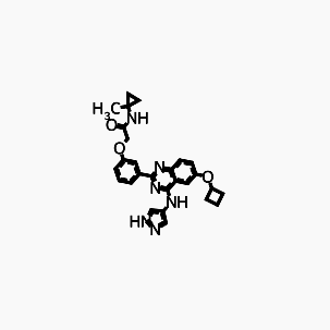 CC1(NC(=O)COc2cccc(-c3nc(Nc4cn[nH]c4)c4cc(OC5CCC5)ccc4n3)c2)CC1